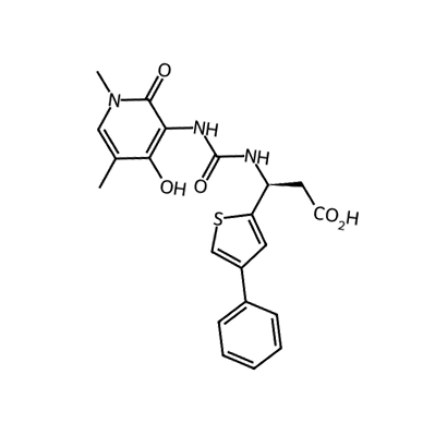 Cc1cn(C)c(=O)c(NC(=O)N[C@@H](CC(=O)O)c2cc(-c3ccccc3)cs2)c1O